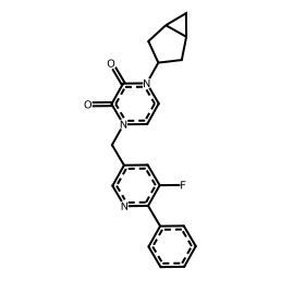 O=c1c(=O)n(C2CC3CC3C2)ccn1Cc1cnc(-c2ccccc2)c(F)c1